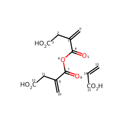 C=C(CC(=O)O)C(=O)OC(=O)C(=C)CC(=O)O.C=CC(=O)O